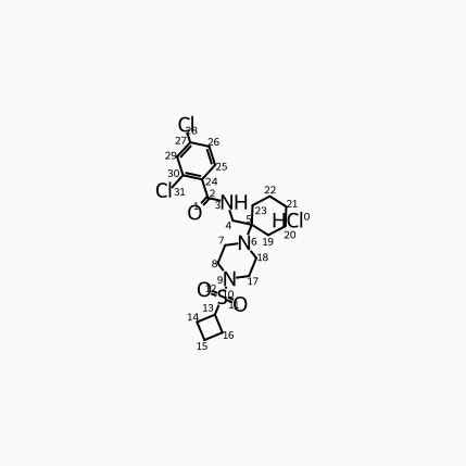 Cl.O=C(NCC1(N2CCN(S(=O)(=O)C3CCC3)CC2)CCCCC1)c1ccc(Cl)cc1Cl